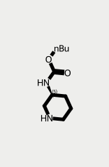 CCCCOC(=O)N[C@H]1CCCNC1